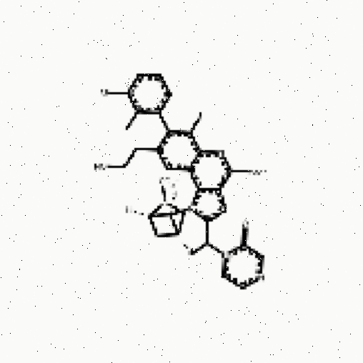 CSc1nc2c(F)c(-c3cccc(Cl)c3C)c(CCC#N)cc2c2c1cc(C(C)n1ccncc1=O)n2[C@H]1[C@@H]2C[C@H]1N(C(=O)O)C2